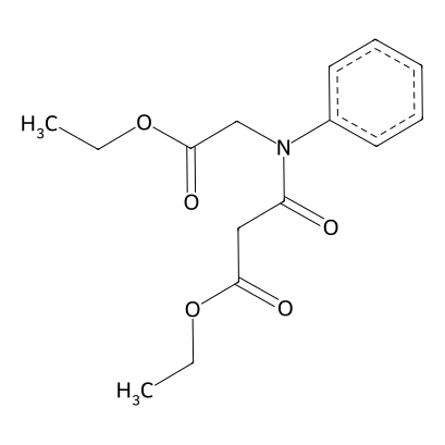 CCOC(=O)CC(=O)N(CC(=O)OCC)c1ccccc1